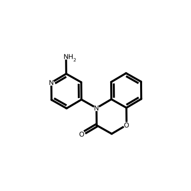 Nc1cc(N2C(=O)COc3ccccc32)ccn1